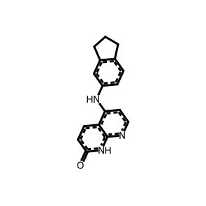 O=c1ccc2c(Nc3ccc4c(c3)CCC4)ccnc2[nH]1